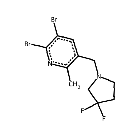 Cc1nc(Br)c(Br)cc1CN1CCC(F)(F)C1